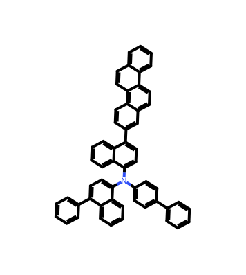 c1ccc(-c2ccc(N(c3ccc(-c4ccccc4)c4ccccc34)c3ccc(-c4ccc5c(ccc6c7ccccc7ccc56)c4)c4ccccc34)cc2)cc1